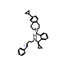 C(=C\c1ccccc1)/CCNC(=C1CC1)c1ccccc1CN1CCc2ccc(C3CC3)cc2CC1